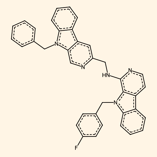 Fc1ccc(Cn2c3ccccc3c3ccnc(NCc4cc5c6ccccc6n(Cc6ccccc6)c5cn4)c32)cc1